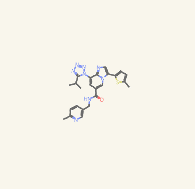 Cc1ccc(CNC(=O)c2cc(-n3nnnc3C(C)C)c3ncc(-c4ccc(C)s4)n3c2)cn1